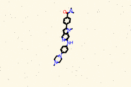 CN1CCN(c2ccc(Nc3cc4c(cn3)cc(-c3ccc(C(=O)N(C)C)cc3)n4C)cc2)CC1